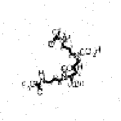 CC(C)(C)C(CCCN(CCCNC(=O)C(F)(F)F)C(=O)O)N(CCCNC(=O)C(F)(F)F)C(=O)O